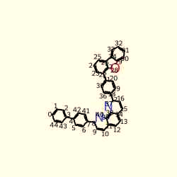 c1ccc(-c2ccc(-c3ccc4ccc5ccc(-c6ccc(-c7cccc8c7oc7ccccc78)cc6)nc5c4n3)cc2)cc1